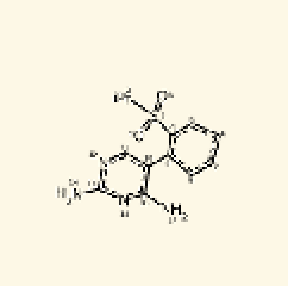 CC(C)S(=O)(=O)c1ccccc1-c1cnc(N)nc1N